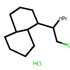 CCCC(CCl)C1CCCC2CCCCC21.Cl